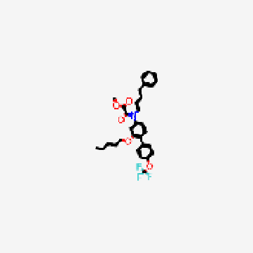 CCCCCOc1cc(N(CCCCc2ccccc2)C(=O)C(=O)OC)ccc1-c1ccc(OC(F)(F)F)cc1